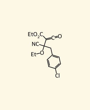 CCOC(=O)C(=C=O)C(C#N)(Cc1ccc(Cl)cc1)OCC